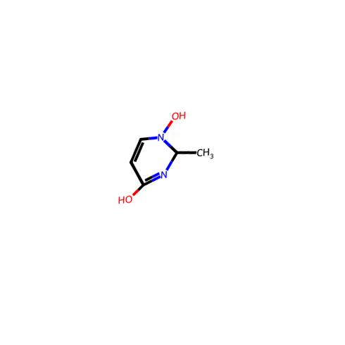 CC1N=C(O)C=CN1O